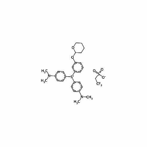 CN(C)c1ccc([S+](c2ccc(N(C)C)cc2)c2cccc(OC3CCCCO3)c2)cc1.O=S(=O)([O-])CC(F)(F)F